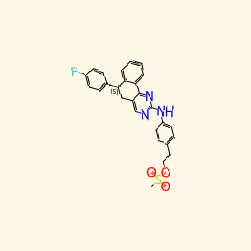 CS(=O)(=O)OCCc1ccc(Nc2ncc3c(n2)-c2ccccc2[C@H](c2ccc(F)cc2)C3)cc1